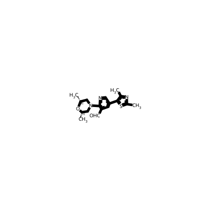 Cc1nc(C)c(-c2cnc(N3C[C@@H](C)O[C@@H](C)C3)c(C=O)c2)s1